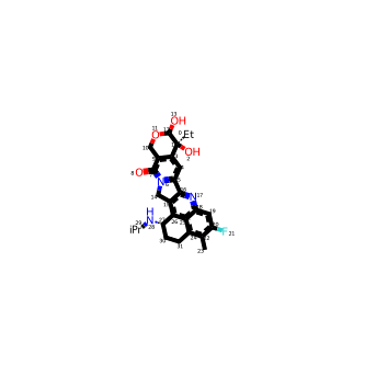 CC[C@]1(O)c2cc3n(c(=O)c2COC1O)Cc1c-3nc2cc(F)c(C)c3c2c1[C@@H](NC(C)C)CC3